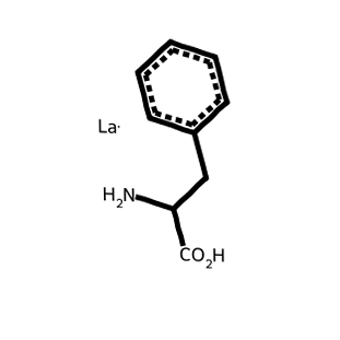 NC(Cc1ccccc1)C(=O)O.[La]